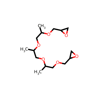 CC(COCC1CO1)OCC(C)OCC(C)OCC1CO1